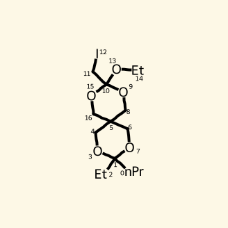 CCCC1(CC)OCC2(CO1)COC(CI)(OCC)OC2